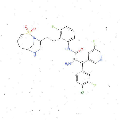 N[C@H](C(=O)Nc1cccc(F)c1CCC1CNC2CCCS(=O)(=O)N1C2)[C@H](c1cncc(F)c1)c1ccc(Cl)c(F)c1